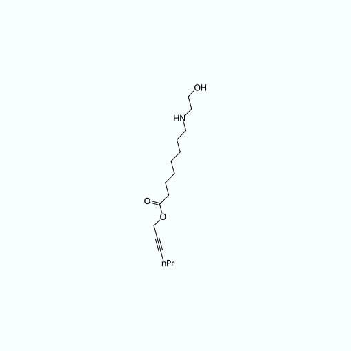 CCCC#CCOC(=O)CCCCCCCNCCO